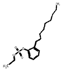 CCCCCCCCCc1ccccc1OS(=O)(=O)OCC